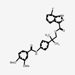 COc1ccc(C(=O)Nc2ccc(C(C)(C)COC(=O)c3n[nH]c4c(F)cccc34)cc2)cc1OC